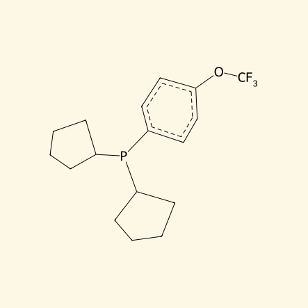 FC(F)(F)Oc1ccc(P(C2CCCC2)C2CCCC2)cc1